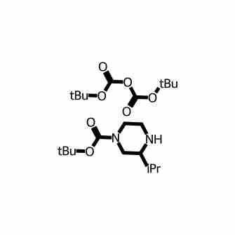 CC(C)(C)OC(=O)OC(=O)OC(C)(C)C.CC(C)C1CN(C(=O)OC(C)(C)C)CCN1